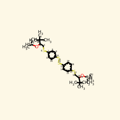 C[SiH](C)OC(CSc1ccc(SSc2ccc(SCC(O[SiH](C)C)C(C)(C)C)cc2)cc1)C(C)(C)C